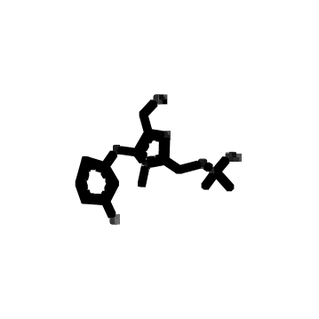 Cn1c(CO[Si](C)(C)C(C)(C)C)nc(CC#N)c1Sc1cccc(Cl)c1